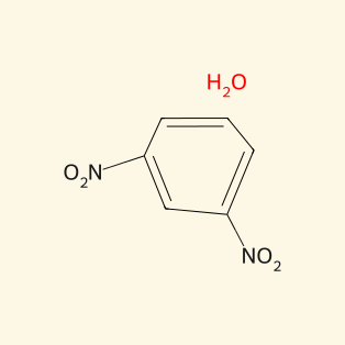 O.O=[N+]([O-])c1cccc([N+](=O)[O-])c1